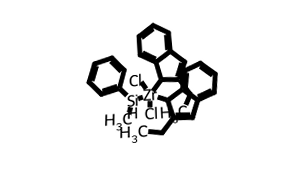 CCC1=Cc2ccccc2[CH]1[Zr]([Cl])([Cl])([CH]1C(CC)=Cc2ccccc21)[SiH](C)c1ccccc1